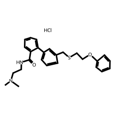 CN(C)CCNC(=O)c1ccccc1-c1cccc(CSCCOc2ccccc2)c1.Cl